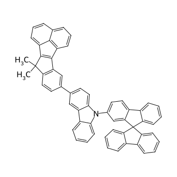 CC1(C)C2=C(c3cc(-c4ccc5c(c4)c4ccccc4n5-c4ccc5c(c4)C4(c6ccccc6-c6ccccc64)c4ccccc4-5)ccc31)c1cccc3cccc2c13